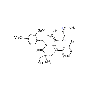 C=C(/C=C\C(Cl)=C/C)[C@@H]1[C@@H](c2cccc(Cl)c2)CC(C)(CO)C(=O)N1Cc1ccc(OC)cc1OC